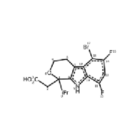 CC(C)C1(CC(=O)O)OCCc2c1[nH]c1c(F)cc(F)c(Br)c21